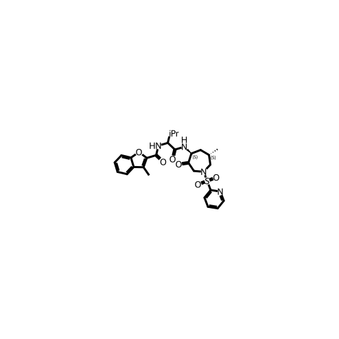 Cc1c(C(=O)NC(C(=O)N[C@H]2C[C@H](C)CN(S(=O)(=O)c3ccccn3)CC2=O)C(C)C)oc2ccccc12